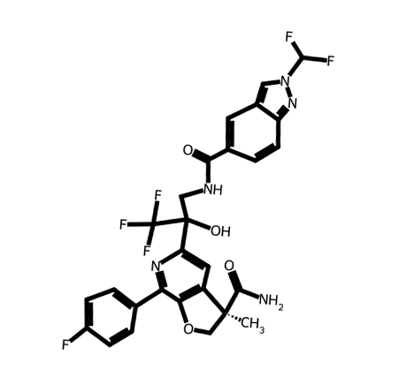 C[C@]1(C(N)=O)COc2c1cc(C(O)(CNC(=O)c1ccc3nn(C(F)F)cc3c1)C(F)(F)F)nc2-c1ccc(F)cc1